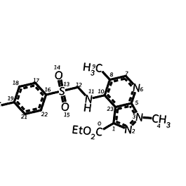 CCOC(=O)c1nn(C)c2ncc(C)c(NCS(=O)(=O)c3ccc(F)cc3)c12